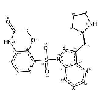 O=C1COc2c(cccc2S(=O)(=O)n2cc(C[C@H]3CCCN3)c3ncccc32)N1